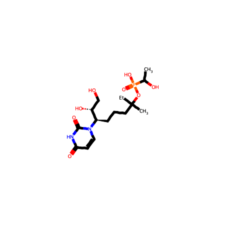 CCC(C)(CCC[C@H]([C@H](O)CO)n1ccc(=O)[nH]c1=O)OP(=O)(O)C(C)O